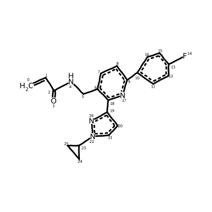 C=CC(=O)NCc1ccc(-c2ccc(F)cc2)nc1-c1ccn(C2CC2)n1